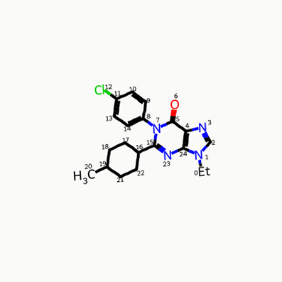 CCn1cnc2c(=O)n(-c3ccc(Cl)cc3)c(C3CCC(C)CC3)nc21